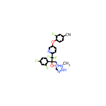 CN1NN=CN1CC(O)(c1ccc(F)cc1F)C(F)(F)c1ccc(Oc2ccc(C#N)cc2F)cn1